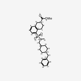 COC(=O)N1CCc2c(cccc2S(=O)(=O)N(C)CC2CCN(Cc3ccccc3)CC2)C1